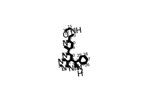 Nc1ncnc2nc(-c3ccc(C4CNCCO4)nc3)cc(-c3c[nH]c4ccccc34)c12